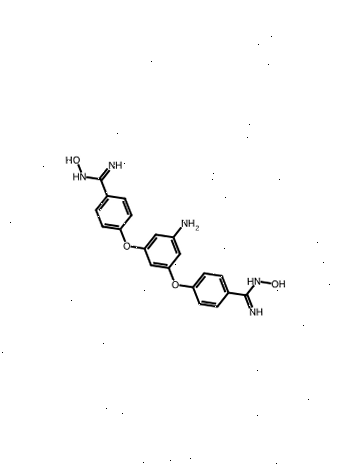 N=C(NO)c1ccc(Oc2cc(N)cc(Oc3ccc(C(=N)NO)cc3)c2)cc1